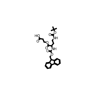 CC(C)(C)OC(=O)NCCC(NC(=O)OCC1c2ccccc2-c2ccccc21)C(=O)OCCC(=O)O